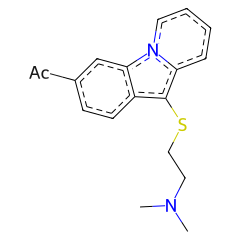 CC(=O)c1ccc2c(SCCN(C)C)c3ccccn3c2c1